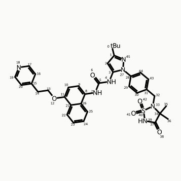 CC(C)(C)c1cc(NC(=O)Nc2ccc(OCCc3ccncc3)c3ccccc23)n(-c2ccc(CN3C(C)(C)C(=O)NS3(=O)=O)cc2)n1